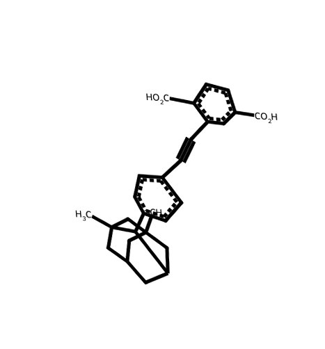 CC12CC3CC(C1)C(c1ccc(C#Cc4cc(C(=O)O)ccc4C(=O)O)cc1)C(C)(C3)C2